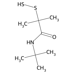 CC(C)(C)NC(=O)C(C)(C)SS